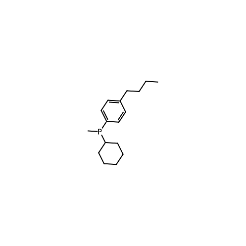 CCCCc1ccc(P(C)C2CCCCC2)cc1